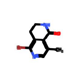 Cc1cnc(Br)c2c1C(=O)NCC2